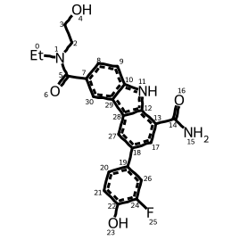 CCN(CCO)C(=O)c1ccc2[nH]c3c(C(N)=O)cc(-c4ccc(O)c(F)c4)cc3c2c1